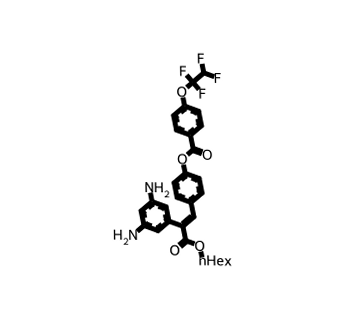 CCCCCCOC(=O)C(=Cc1ccc(OC(=O)c2ccc(OC(F)(F)C(F)F)cc2)cc1)c1cc(N)cc(N)c1